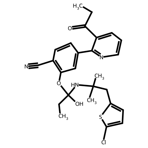 CCC(=O)c1cccnc1-c1ccc(C#N)c(OC(O)(CC)NC(C)(C)Cc2ccc(Cl)s2)c1